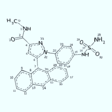 CNC(=O)c1cc(-c2c3ccccc3cc3ccccc23)n(-c2ccc(NS(N)(=O)=O)cc2)n1